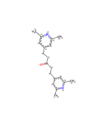 Cc1cc(CCC(=O)CCc2cc(C)nc(C)c2)cc(C)n1